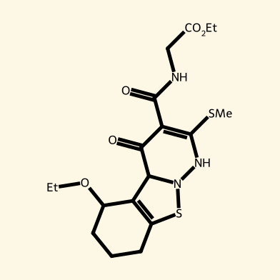 CCOC(=O)CNC(=O)C1=C(SC)NN2SC3=C(C(OCC)CCC3)C2C1=O